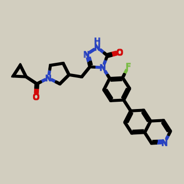 O=C(C1CC1)N1CCC(Cc2n[nH]c(=O)n2-c2ccc(-c3ccc4cnccc4c3)cc2F)C1